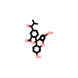 CC(C)C(=O)c1ccc2c(c1)C(=O)OC21c2ccc(O)cc2Oc2cc(O)ccc21